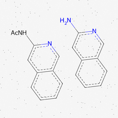 CC(=O)Nc1cc2ccccc2cn1.Nc1cc2ccccc2cn1